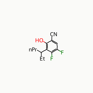 CCCC(CC)c1c(O)c(C#N)cc(F)c1F